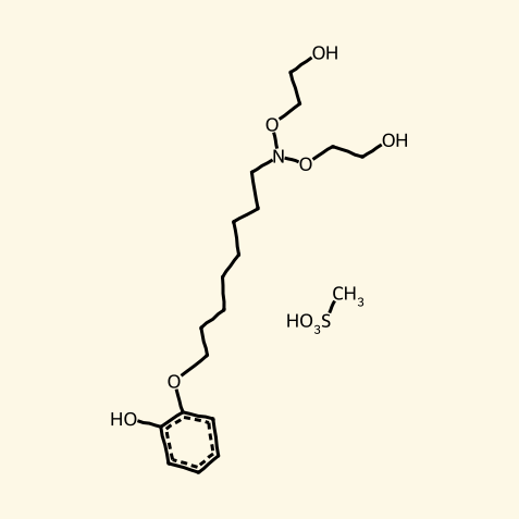 CS(=O)(=O)O.OCCON(CCCCCCCCOc1ccccc1O)OCCO